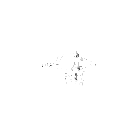 CCNS(=O)(=O)c1ccc(-c2ccc(C(C(=O)NC(C)(C)C)N3C(=O)C(C4Cc5ccccc5C4)NC(=O)C3CC(C)C)cc2)cc1